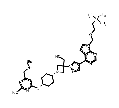 CC(C)(C)NCc1cc(O[C@H]2CC[C@@H](N3CC(CC#N)(n4cc(-c5ncnc6c5ccn6COCC[Si](C)(C)C)cn4)C3)CC2)nc(C(F)(F)F)n1